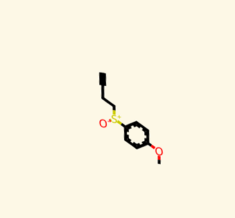 C#CCC[S+]([O-])c1ccc(OC)cc1